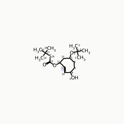 CC(C)(C)OC1CCC(O)/C=C/C(OC(=O)SC(C)(C)C)C1